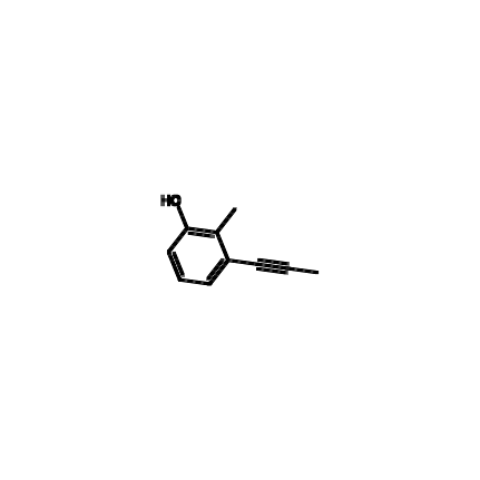 CC#Cc1cccc(O)c1C